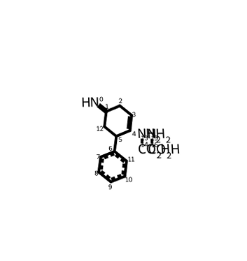 N=C1CC=CC(c2ccccc2)C1.NC(=O)O.NC(=O)O